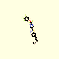 C=CCCc1ccc2nc(-c3cnc(C(F)(F)Oc4cc(F)c(F)c(F)c4)nc3)sc2c1